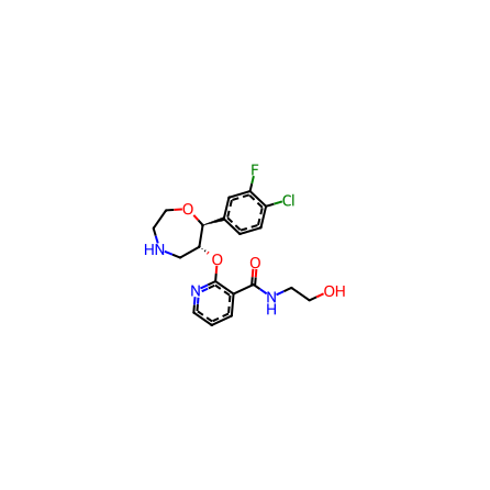 O=C(NCCO)c1cccnc1O[C@@H]1CNCCO[C@H]1c1ccc(Cl)c(F)c1